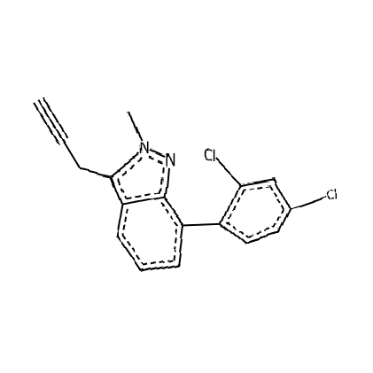 C#CCc1c2cccc(-c3ccc(Cl)cc3Cl)c2nn1C